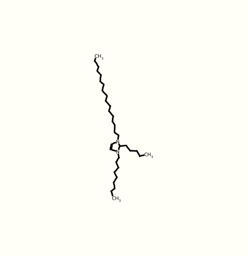 CCCCCCCCCCCCCCCCCN1C=CN(CCCCCCCCC)C1CCCCC